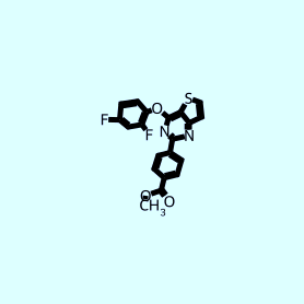 COC(=O)c1ccc(-c2nc(Oc3ccc(F)cc3F)c3sccc3n2)cc1